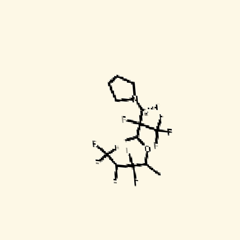 CC(OC(C)C(F)([C@@H](F)N1CCCC1)C(F)(F)F)C(F)(F)C(F)C(F)(F)F